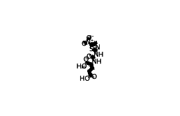 O=C(O)CCC(NC(=O)Nc1ncc([N+](=O)[O-])s1)C(=O)O